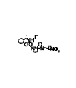 C[C@H](NC(=O)OC[n+]1cccc(C(=O)NCCO[N+](=O)[O-])c1)C1CCCCC1.[I-]